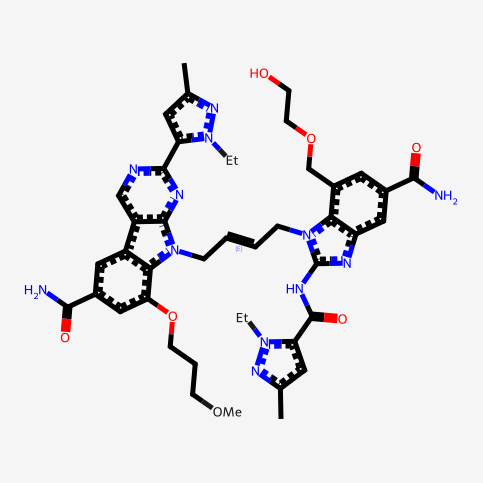 CCn1nc(C)cc1C(=O)Nc1nc2cc(C(N)=O)cc(COCCO)c2n1C/C=C/Cn1c2nc(-c3cc(C)nn3CC)ncc2c2cc(C(N)=O)cc(OCCCOC)c21